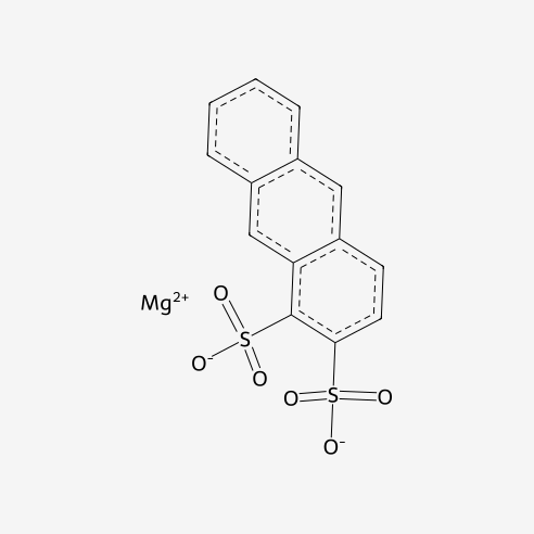 O=S(=O)([O-])c1ccc2cc3ccccc3cc2c1S(=O)(=O)[O-].[Mg+2]